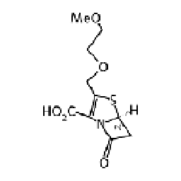 COCCOCC1=C(C(=O)O)N2C(=O)C[C@@H]2S1